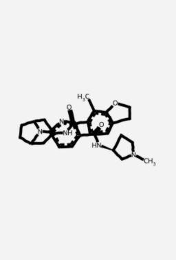 Cc1c(C(=O)NC2CC3CCC(C2)N3c2ccc(C(=O)N[C@H]3CCN(C)C3)cn2)ccc2c1OCC2